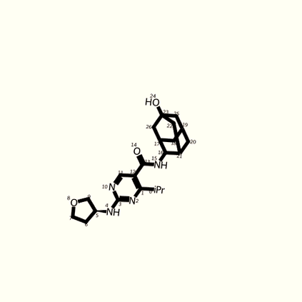 CC(C)c1nc(N[C@H]2CCOC2)ncc1C(=O)NC1C2CC3CC1CC(O)(C3)C2